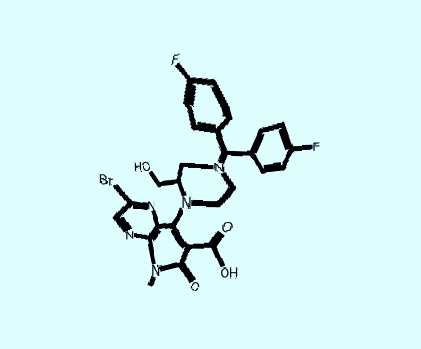 Cn1c(=O)c(C(=O)O)c(N2CCN(C(c3ccc(F)cc3)c3ccc(F)cc3)CC2CO)c2nc(Br)cnc21